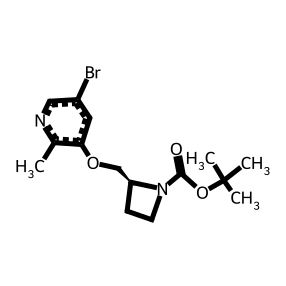 Cc1ncc(Br)cc1OC[C@@H]1CCN1C(=O)OC(C)(C)C